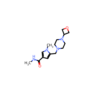 CNC(=O)c1cc(CN2CCN(C3COC3)CC2)n(C)c1